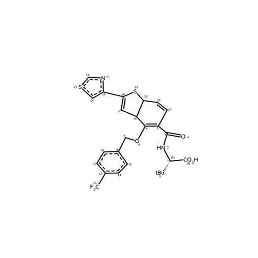 CC(C)(C)[C@H](NC(=O)C1=C(OCc2ccc(C(F)(F)F)cc2)C2C=C(c3cscn3)SC2C=C1)C(=O)O